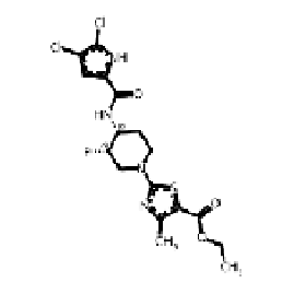 CCOC(=O)c1sc(N2CC[C@@H](NC(=O)c3cc(Cl)c(Cl)[nH]3)[C@@H](F)C2)nc1C